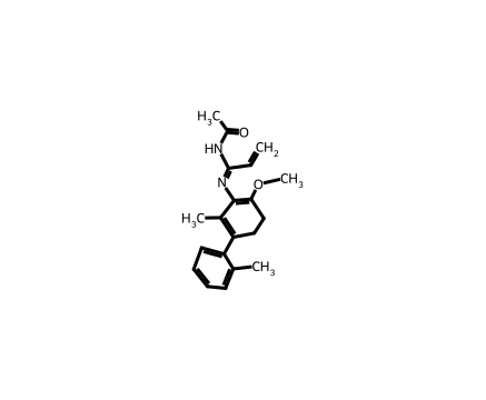 C=C/C(=N\C1=C(OC)CCC(c2ccccc2C)=C1C)NC(C)=O